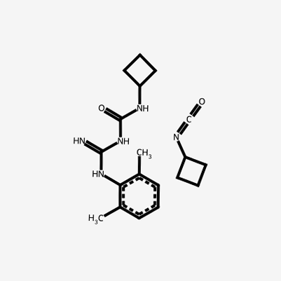 Cc1cccc(C)c1NC(=N)NC(=O)NC1CCC1.O=C=NC1CCC1